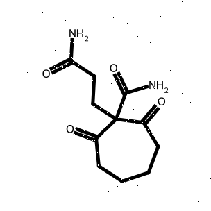 NC(=O)CCC1(C(N)=O)C(=O)CCCCC1=O